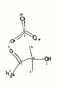 CC(C)(O)C(N)=O.O=S(=O)=O